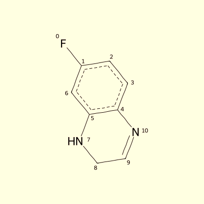 Fc1ccc2c(c1)NCC=N2